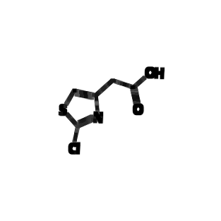 O=C(O)Cc1csc(Cl)n1